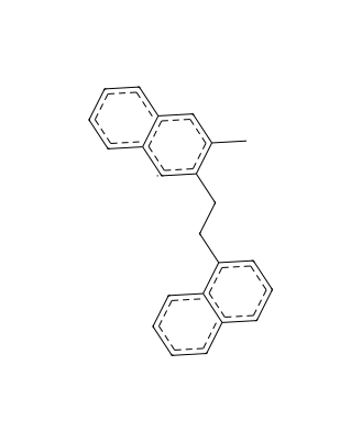 Cc1cc2ccccc2[c]c1CCc1cccc2ccccc12